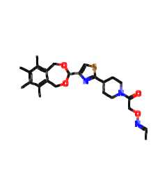 CC=NOCC(=O)N1CCC(c2nc(C3OCc4c(C)c(C)c(C)c(C)c4CO3)cs2)CC1